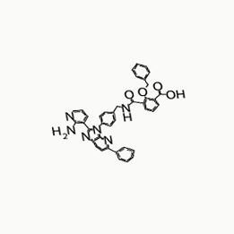 Nc1ncccc1-c1nc2ccc(-c3ccccc3)nc2n1-c1ccc(CNC(=O)c2cccc(C(=O)O)c2OCc2ccccc2)cc1